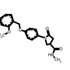 CNC(=O)C1CC(=O)N(c2ccc(OCc3ccccc3OC)cc2)C1